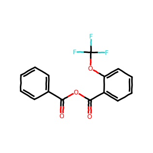 O=C(OC(=O)c1ccccc1OC(F)(F)F)c1ccccc1